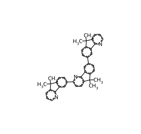 CC1(C)c2ccc(-c3ccc4c(c3)-c3nc(-c5ccc6c(c5)-c5ncccc5C6(C)C)ccc3C4(C)C)cc2-c2ncccc21